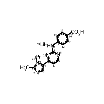 Cc1ncc(-c2ccnc(Nc3ccc(C(=O)O)cc3)n2)n1C(C)C.[LiH]